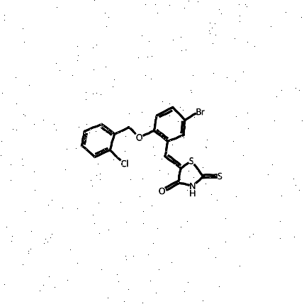 O=C1NC(=S)S/C1=C\c1cc(Br)ccc1OCc1ccccc1Cl